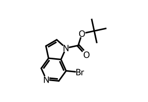 CC(C)(C)OC(=O)n1ccc2cncc(Br)c21